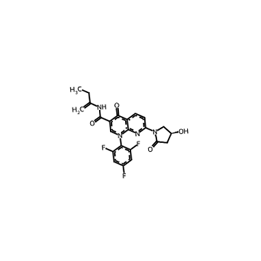 C=C(CC)NC(=O)c1cn(-c2c(F)cc(F)cc2F)c2nc(N3C[C@@H](O)CC3=O)ccc2c1=O